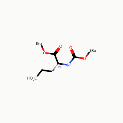 CC(C)(C)OC(=O)N[C@H](CCC(=O)O)C(=O)OC(C)(C)C